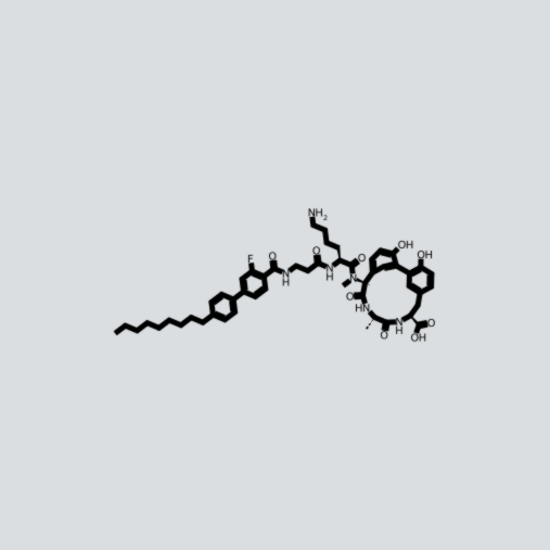 CCCCCCCCCc1ccc(-c2ccc(C(=O)NCCC(=O)N[C@@H](CCCCN)C(=O)N(C)[C@@H]3C(=O)N[C@@H](C)C(=O)N[C@H](C(=O)O)Cc4ccc(O)c(c4)-c4cc3ccc4O)c(F)c2)cc1